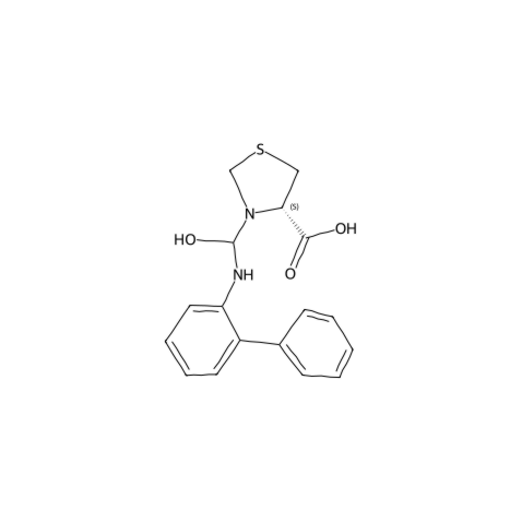 O=C(O)[C@H]1CSCN1C(O)Nc1ccccc1-c1ccccc1